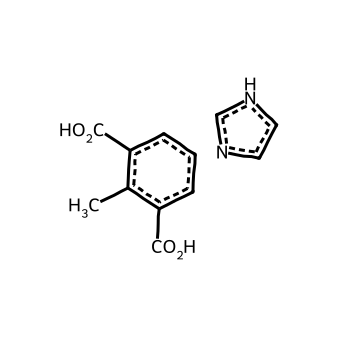 Cc1c(C(=O)O)cccc1C(=O)O.c1c[nH]cn1